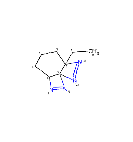 CCC12CCCC3N=NC31N=N2